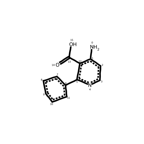 Nc1ccnc(-c2ccccc2)c1C(=O)O